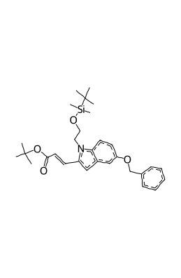 CC(C)(C)OC(=O)C=Cc1cc2cc(OCc3ccccc3)ccc2n1CCO[Si](C)(C)C(C)(C)C